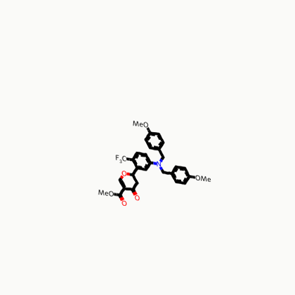 COC(=O)C1=COC(c2cc(N(Cc3ccc(OC)cc3)Cc3ccc(OC)cc3)ccc2C(F)(F)F)CC1=O